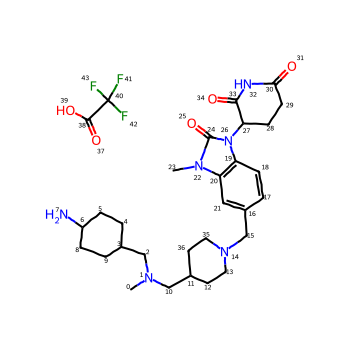 CN(CC1CCC(N)CC1)CC1CCN(Cc2ccc3c(c2)n(C)c(=O)n3C2CCC(=O)NC2=O)CC1.O=C(O)C(F)(F)F